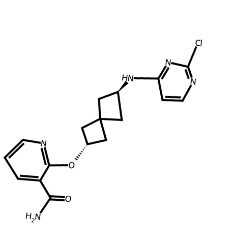 NC(=O)c1cccnc1O[C@H]1CC2(C[C@H](Nc3ccnc(Cl)n3)C2)C1